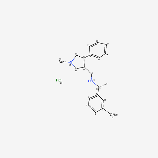 COc1cccc([C@@H](C)NCC2CN(C(C)=O)CC2c2ccccc2)c1.Cl